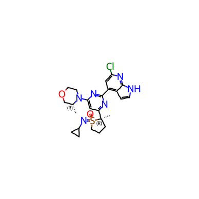 C[C@@H]1COCCN1c1cc([C@@]2(C)CCCS2(=O)=NC2CC2)nc(-c2cc(Cl)nc3[nH]ccc23)n1